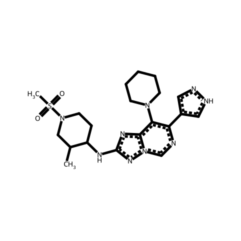 CC1CN(S(C)(=O)=O)CCC1Nc1nc2c(N3CCCCC3)c(-c3cn[nH]c3)ncn2n1